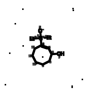 CC[N+]([O-])(CC)C1=CC(O)CCCCC1